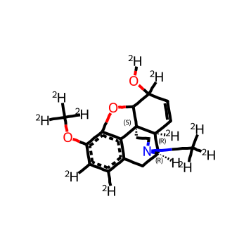 [2H]OC1([2H])C=C[C@@]2([2H])[C@H]3Cc4c([2H])c([2H])c(OC([2H])([2H])[2H])c5c4[C@@]2(CCN3C([2H])([2H])[2H])C1O5